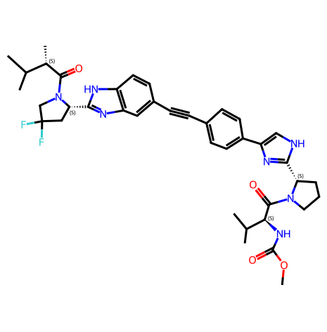 COC(=O)N[C@H](C(=O)N1CCC[C@H]1c1nc(-c2ccc(C#Cc3ccc4[nH]c([C@@H]5CC(F)(F)CN5C(=O)[C@@H](C)C(C)C)nc4c3)cc2)c[nH]1)C(C)C